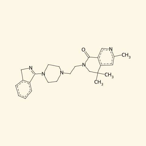 Cc1cc2c(cn1)C(=O)N(CCN1CCN(C3=NCc4ccccc43)CC1)CC2(C)C